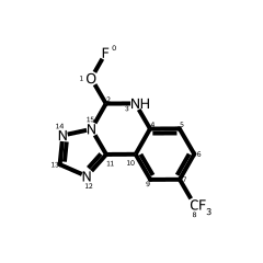 FOC1Nc2ccc(C(F)(F)F)cc2-c2ncnn21